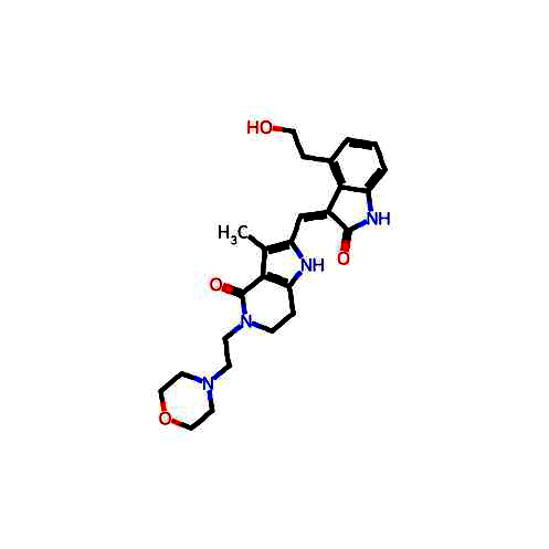 Cc1c(C=C2C(=O)Nc3cccc(CCO)c32)[nH]c2c1C(=O)N(CCN1CCOCC1)CC2